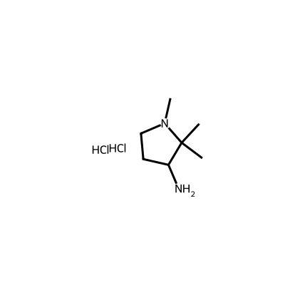 CN1CCC(N)C1(C)C.Cl.Cl